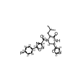 CC(C)CC1C(=O)NC(c2cnco2)CN1C(=O)c1noc(-c2ccc(F)cc2)n1